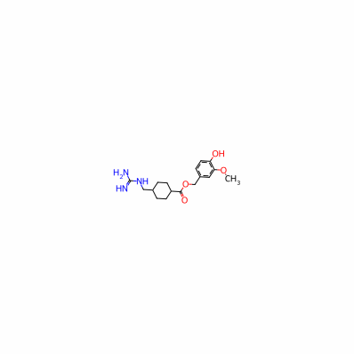 COc1cc(COC(=O)C2CCC(CNC(=N)N)CC2)ccc1O